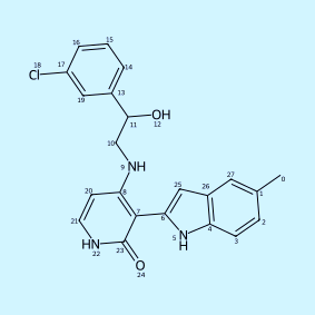 Cc1ccc2[nH]c(-c3c(NCC(O)c4cccc(Cl)c4)cc[nH]c3=O)cc2c1